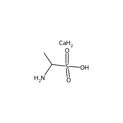 CC(N)S(=O)(=O)O.[CaH2]